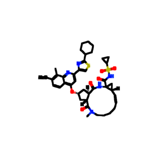 COc1ccc2c(O[C@@H]3C[C@H]4C(=O)NC5(C(=O)NS(=O)(=O)C6CC6)C[C@@H]5/C=C\CCCCN(C)C(=O)[C@@H]4C3)cc(-c3csc(C4CCCCC4)n3)nc2c1C